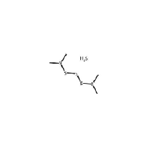 CB(C)SSSN(C)C.S